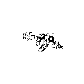 C1COCCN1.CC(C)COc1ncc(Oc2cc(F)c(C(=O)N=S(=O)=O)cc2Cl)cc1Cl